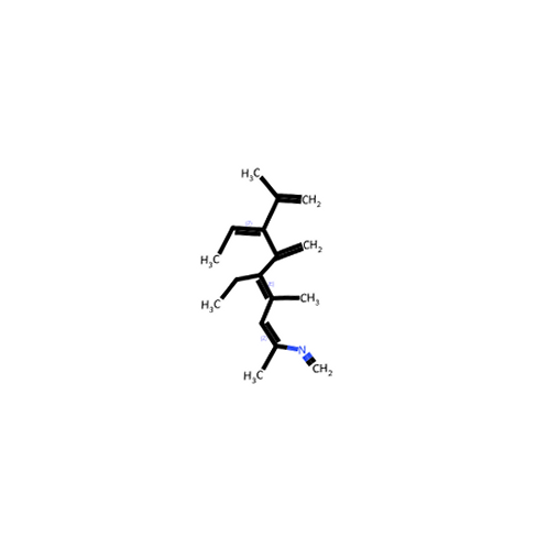 C=N/C(C)=C\C(C)=C(/CC)C(=C)/C(=C\C)C(=C)C